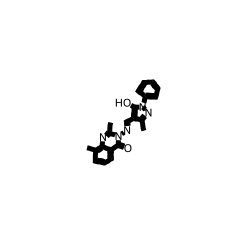 Cc1nn(-c2ccccc2)c(O)c1/C=N/n1c(C)nc2c(C)cccc2c1=O